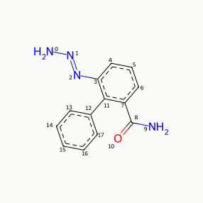 NN=Nc1cccc(C(N)=O)c1-c1ccccc1